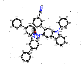 N#Cc1ccc(C#N)c(-c2cc3c(cc2-n2c4ccc(-c5ccccc5)cc4c4cc(-c5ccccc5)ccc42)c2ccccc2n3-c2ccccc2)c1